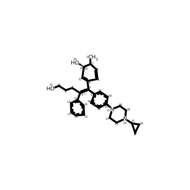 CC1C=CC(/C(=C(\CCCO)c2ccccc2)c2ccc(N3CCN(C4CC4)CC3)cc2)=C[C@H]1O